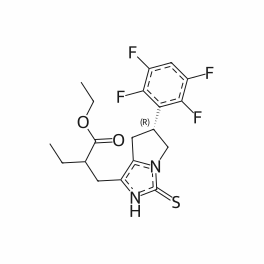 CCOC(=O)C(CC)Cc1[nH]c(=S)n2c1C[C@H](c1c(F)c(F)cc(F)c1F)C2